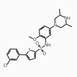 COc1ccc(N2CC(C)NC(C)C2)cc1NS(=O)(=O)c1ccc(-c2cccc(Cl)c2)s1